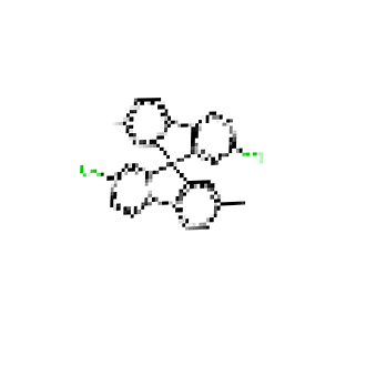 Cc1ccc2c(c1)C1(c3cc(C)ccc3-c3ccc(Cl)cc31)c1cc(Cl)ccc1-2